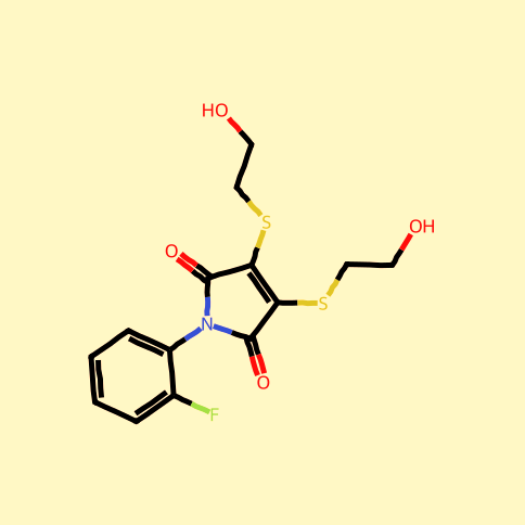 O=C1C(SCCO)=C(SCCO)C(=O)N1c1ccccc1F